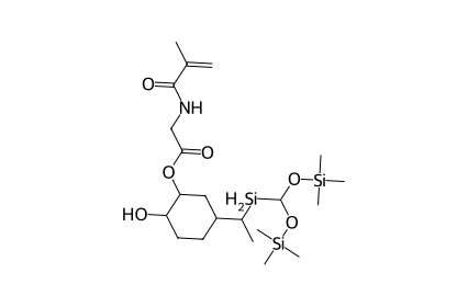 C=C(C)C(=O)NCC(=O)OC1CC(C(C)[SiH2]C(O[Si](C)(C)C)O[Si](C)(C)C)CCC1O